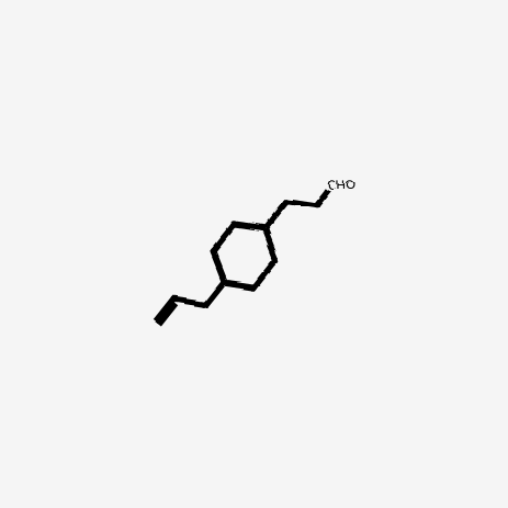 C=CCC1CCC(CCC=O)CC1